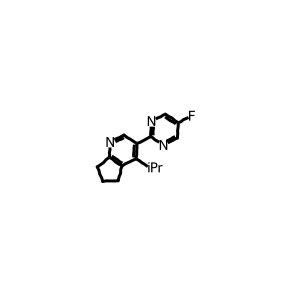 CC(C)c1c(-c2ncc(F)cn2)cnc2c1CCC2